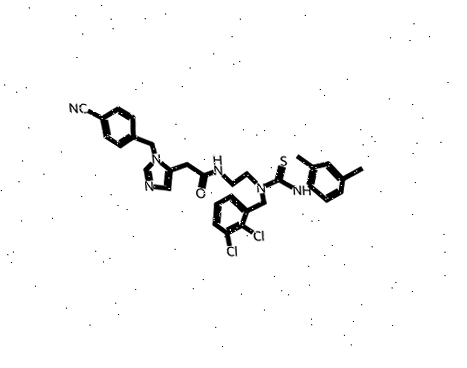 Cc1ccc(NC(=S)N(CCNC(=O)Cc2cncn2Cc2ccc(C#N)cc2)Cc2cccc(Cl)c2Cl)c(C)c1